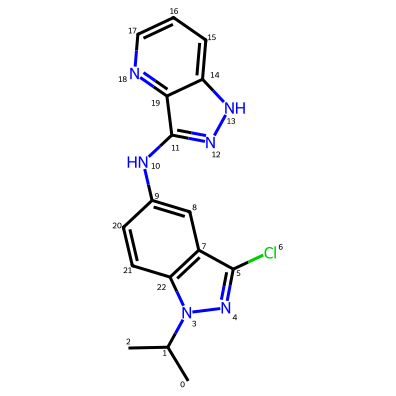 CC(C)n1nc(Cl)c2cc(Nc3n[nH]c4cccnc34)ccc21